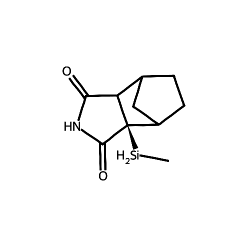 C[SiH2][C@@]12C(=O)NC(=O)C1C1CCC2C1